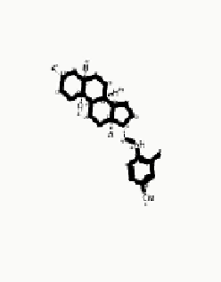 Cc1cc(C#N)ccc1NC[C@H]1CCC2[C@@H]3CC[C@@H]4C[C@@H](C)CC[C@@H]4C3CC[C@@]21C